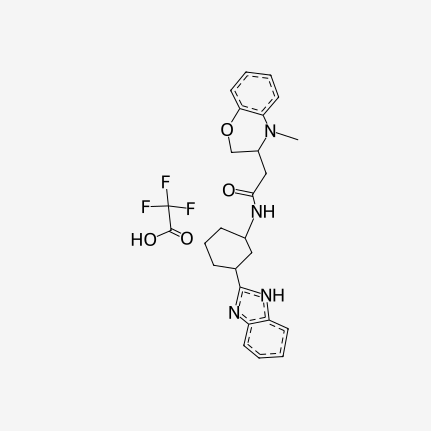 CN1c2ccccc2OCC1CC(=O)NC1CCCC(c2nc3ccccc3[nH]2)C1.O=C(O)C(F)(F)F